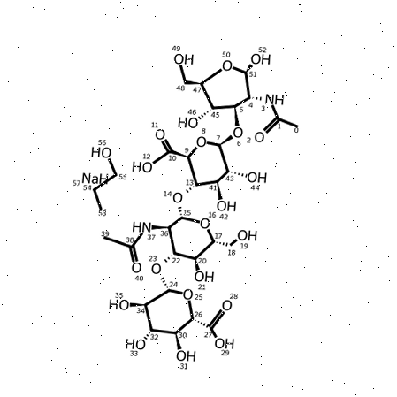 CC(=O)N[C@@H]1[C@@H](O[C@@H]2O[C@H](C(=O)O)[C@@H](O[C@@H]3O[C@H](CO)[C@@H](O)[C@H](O[C@@H]4O[C@H](C(=O)O)[C@@H](O)[C@H](O)[C@H]4O)[C@H]3NC(C)=O)[C@H](O)[C@H]2O)[C@H](O)[C@@H](CO)O[C@H]1O.[CH2]CCO.[NaH]